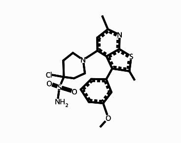 COc1cccc(-c2c(C)sc3nc(C)cc(N4CCC(Cl)(S(N)(=O)=O)CC4)c23)c1